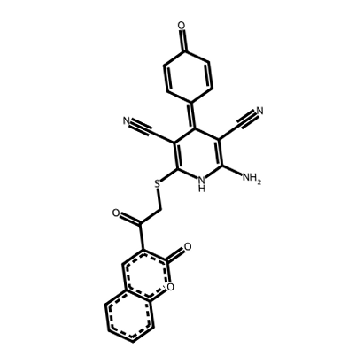 N#CC1=C(N)NC(SCC(=O)c2cc3ccccc3oc2=O)=C(C#N)C1=C1C=CC(=O)C=C1